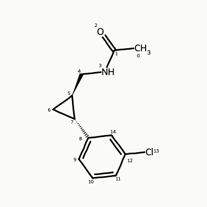 CC(=O)NC[C@@H]1C[C@H]1c1cccc(Cl)c1